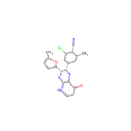 Cc1ccc(-c2nc3[nH]ccc(=O)c3nc2-c2cc(C)c(C#N)c(Cl)c2)o1